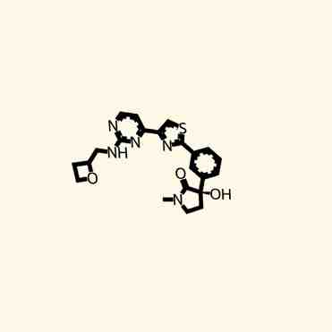 CN1CC[C@@](O)(c2cccc(-c3nc(-c4ccnc(NCC5CCO5)n4)cs3)c2)C1=O